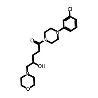 O=C(CCC(O)CN1CCOCC1)N1CCN(c2cccc(Cl)c2)CC1